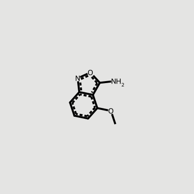 COc1cccc2noc(N)c12